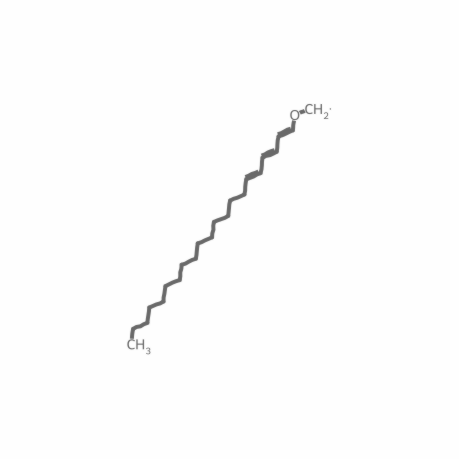 [CH2]O/C=C/C=C/C=C/CCCCCCCCCCCCCCC